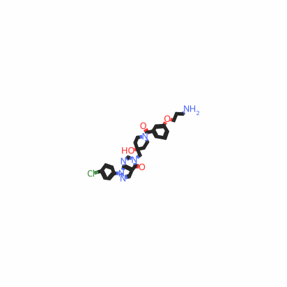 NCCCOc1cccc(C(=O)N2CCC(O)(Cn3cnc4c(cnn4-c4ccc(Cl)cc4)c3=O)CC2)c1